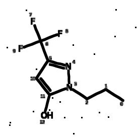 CCCn1nc(C(F)(F)F)cc1O